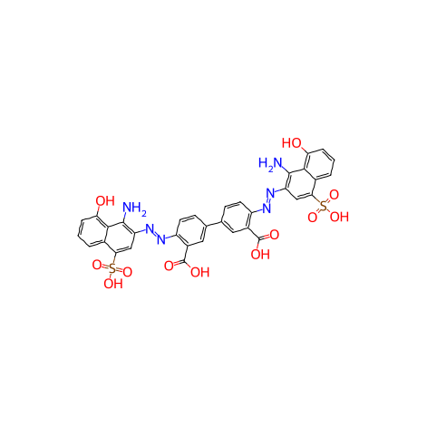 Nc1c(N=Nc2ccc(-c3ccc(N=Nc4cc(S(=O)(=O)O)c5cccc(O)c5c4N)c(C(=O)O)c3)cc2C(=O)O)cc(S(=O)(=O)O)c2cccc(O)c12